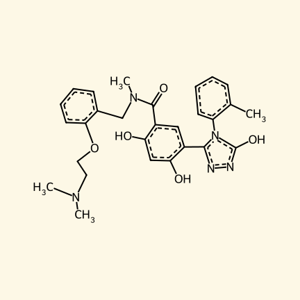 Cc1ccccc1-n1c(O)nnc1-c1cc(C(=O)N(C)Cc2ccccc2OCCN(C)C)c(O)cc1O